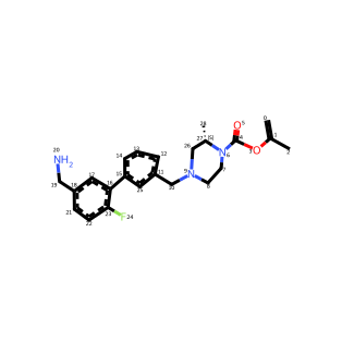 C=C(C)OC(=O)N1CCN(Cc2cccc(-c3cc(CN)ccc3F)c2)C[C@@H]1C